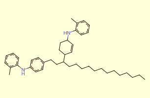 CCCCCCCCCCC[CH]CC(CCc1ccc(Nc2ccccc2C)cc1)C1C=CC(Nc2ccccc2C)CC1